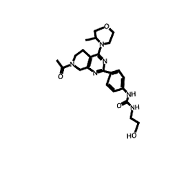 CC(=O)N1CCc2c(nc(-c3ccc(NC(=O)NCCO)cc3)nc2N2CCOCC2C)C1